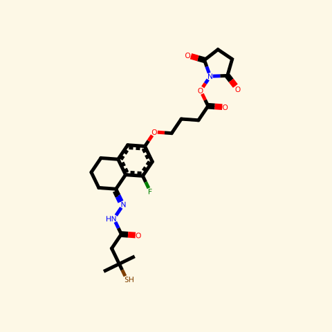 CC(C)(S)CC(=O)NN=C1CCCc2cc(OCCCC(=O)ON3C(=O)CCC3=O)cc(F)c21